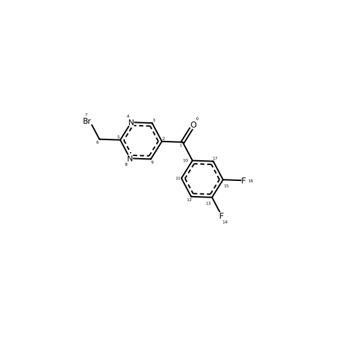 O=C(c1cnc(CBr)nc1)c1ccc(F)c(F)c1